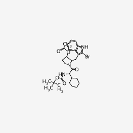 CC(=O)O[C@@H]1CCN(C(=O)[C@@H](NC(=O)OC(C)(C)C)C2CCCCC2)[C@@H]1Cc1c(Br)[nH]c2ccccc12